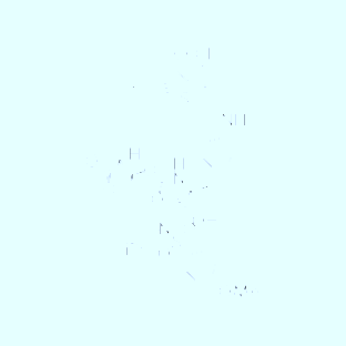 COc1ccc(S(=O)(=O)N(CC(C)C)C[C@@H](O)[C@H](Cc2ccc(NC[C@H]3CCCC[C@H]3c3sc4c(c3C(=O)O)CC(C)(C)CC4)cc2)NC(=O)O[C@H]2CO[C@@]3(C)OCC[C@@H]23)cc1